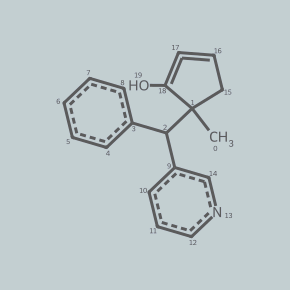 CC1(C(c2ccccc2)c2cccnc2)CC=C=C1O